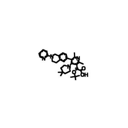 Cc1nc(C)c([C@H](OC(C)(C)C)C(=O)O)c(N2CCC(C)(C)CC2)c1-c1ccc2c(c1)CCN(c1ccccn1)C2